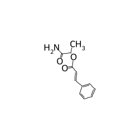 CC(OC(=O)/C=C/c1ccccc1)C(N)=O